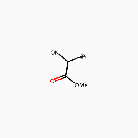 COC(=O)C(N=O)C(C)C